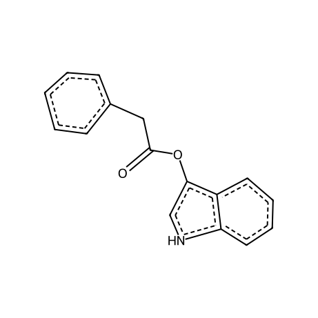 O=C(Cc1ccccc1)Oc1c[nH]c2ccccc12